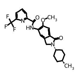 COc1cc2c(cc1NC(=O)c1cccc(C(F)(F)F)n1)CN([C@H]1CC[C@H](C)CC1)C2=O